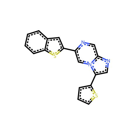 c1csc(-c2cnc3cnc(-c4cc5ccccc5s4)cn23)c1